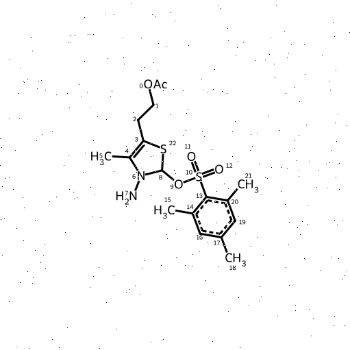 CC(=O)OCCC1=C(C)N(N)C(OS(=O)(=O)c2c(C)cc(C)cc2C)S1